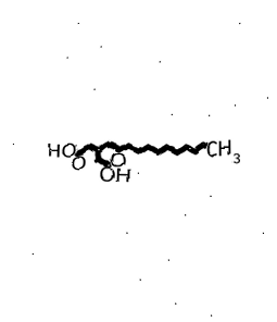 CCCCCCCCCC/C=C/C(CC(=O)O)CC(=O)O